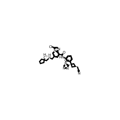 Cn1cnnc1[C@]1(c2cccc(NC(=O)c3cc(CNCC4(C)CCCC4)cn4c(Cl)cnc34)c2)C[C@H](CC#N)C1